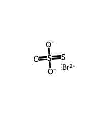 O=S([O-])([O-])=S.[Br+2]